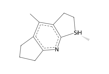 Cc1c2c(nc3c1CC[Si@@H]3C)CCC2